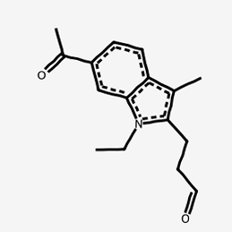 CCn1c(CCC=O)c(C)c2ccc(C(C)=O)cc21